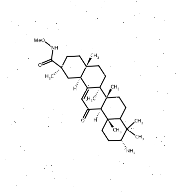 CONC(=O)[C@@]1(C)CC[C@]2(C)CC[C@]3(C)C(=CC(=O)[C@@H]4[C@@]5(C)CC[C@@H](N)C(C)(C)C5CC[C@]43C)[C@H]2C1